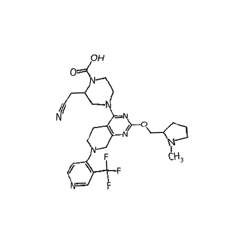 CN1CCCC1COc1nc2c(c(N3CCN(C(=O)O)C(CC#N)C3)n1)CCN(c1ccncc1C(F)(F)F)C2